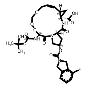 CC(C)(C)OC(=O)N[C@H]1COCCCC=C[C@@H]2C[C@@]2(C(=O)O)NC(=O)[C@@H]2C[C@@H](OC(=O)N3Cc4cccc(F)c4C3)CN2C1=O